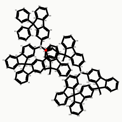 CC1(C)c2ccccc2-c2ccc(N(c3ccc4c(c3)C(C)(c3cccc(-c5ccc6c(c5)C5(c7ccccc7-6)c6ccccc6-c6ccc(N(c7ccc8c(c7)C(C)(C)c7ccccc7-8)c7ccc8c(c7)C(c7ccccc7)(c7ccccc7)c7ccccc7-8)cc65)c3)c3ccccc3-4)c3ccc4c(c3)C3(c5ccccc5-c5ccccc53)c3ccccc3-4)cc21